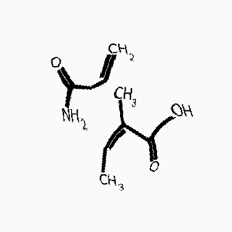 C=CC(N)=O.CC=C(C)C(=O)O